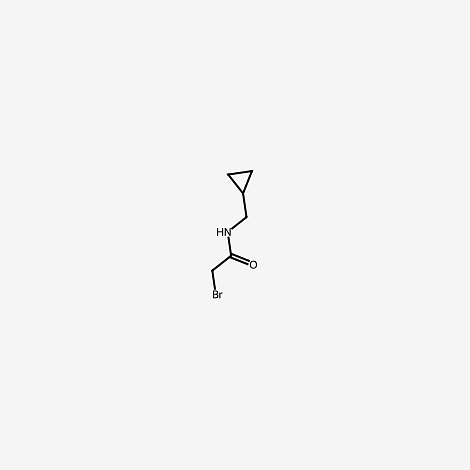 O=C(CBr)NCC1CC1